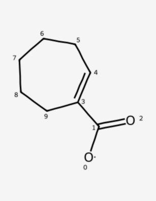 [O]C(=O)C1=CCCCCC1